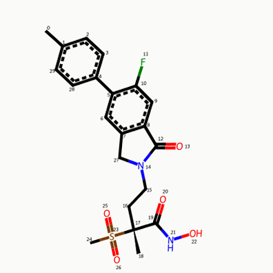 Cc1ccc(-c2cc3c(cc2F)C(=O)N(CC[C@](C)(C(=O)NO)S(C)(=O)=O)C3)cc1